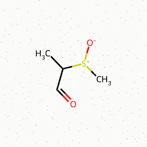 CC(C=O)[S+](C)[O-]